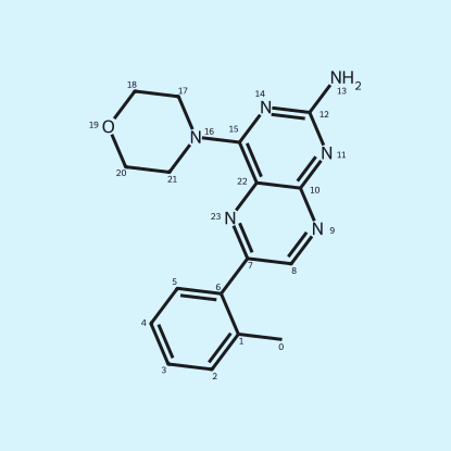 Cc1ccccc1-c1cnc2nc(N)nc(N3CCOCC3)c2n1